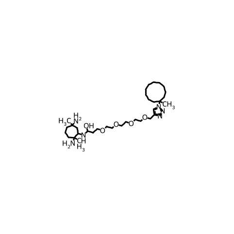 CC1(N)CCCC(C)(N)C(NC(O)CCOCCOCCOCCOCc2cn(C3(C)CCCCCCCCCC3)nn2)C1